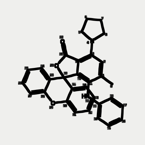 Cc1cc(N2CCCC2)c2c(c1Nc1ccccc1)C1(OC2=O)c2ccccc2Oc2ccccc21